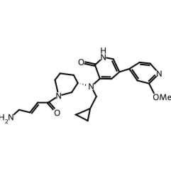 COc1cc(-c2c[nH]c(=O)c(N(CC3CC3)[C@H]3CCCN(C(=O)/C=C/CN)C3)c2)ccn1